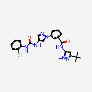 Cn1nc(C(C)(C)C)cc1NC(=O)c1cccc(-n2cc(NC(=O)Nc3ccccc3Cl)cn2)c1